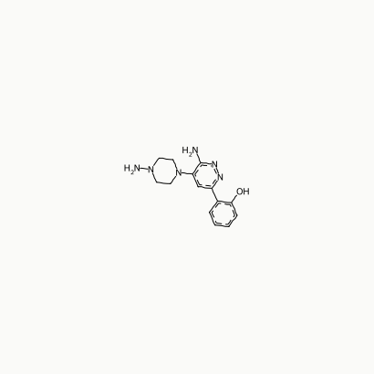 Nc1nnc(-c2ccccc2O)cc1N1CCN(N)CC1